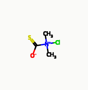 C[N+](C)(Cl)C([O-])=S